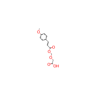 COc1ccc(C=CC(=O)OCOCC(=O)O)cc1